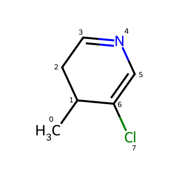 CC1CC=NC=C1Cl